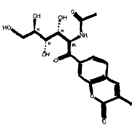 CC(=O)N[C@@H](C(=O)c1ccc2cc(C)c(=O)oc2c1)[C@@H](O)[C@H](O)[C@H](O)CO